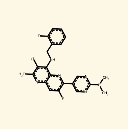 Cc1nc2cc(F)c(-c3cnc(P(C)C)nc3)nc2c(NCc2ccccc2F)c1Cl